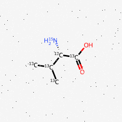 [13CH3][13CH]([13CH3])[13C@H]([15NH2])[13C](=O)O